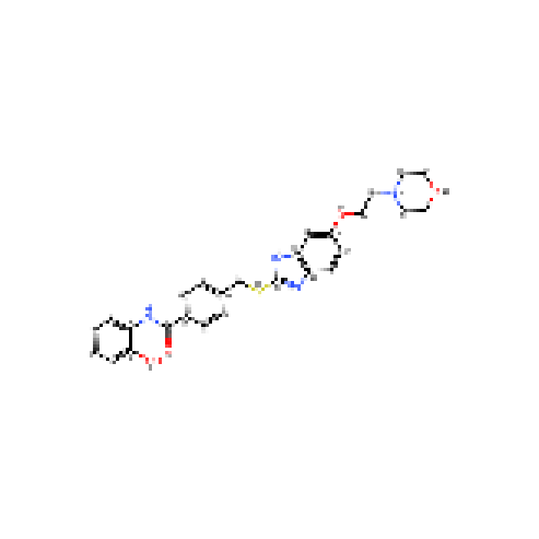 O=C(Nc1ccccc1O)c1ccc(CSc2nc3ccc(OCCN4CCOCC4)cc3[nH]2)cc1